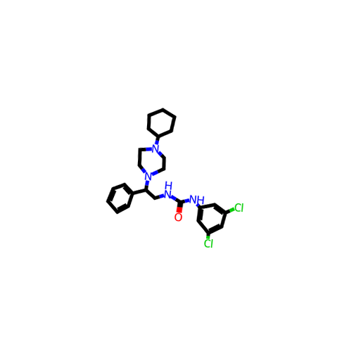 O=C(NCC(c1ccccc1)N1CCN(C2CCCCC2)CC1)Nc1cc(Cl)cc(Cl)c1